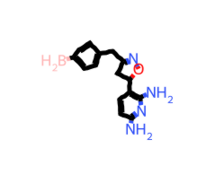 Bc1ccc(CC2=NOC(c3ccc(N)nc3N)C2)cc1